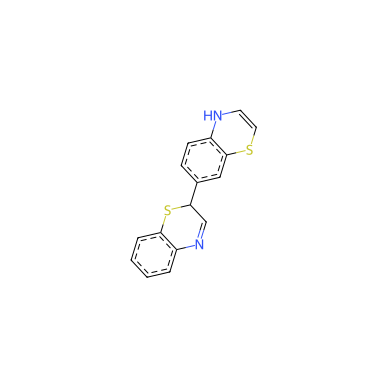 C1=CSc2cc(C3C=Nc4ccccc4S3)ccc2N1